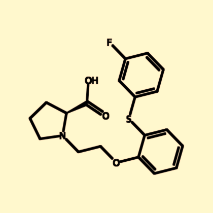 O=C(O)[C@@H]1CCCN1CCOc1ccccc1Sc1cccc(F)c1